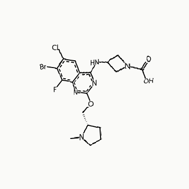 CN1CCC[C@H]1COc1nc(NC2CN(C(=O)O)C2)c2cc(Cl)c(Br)c(F)c2n1